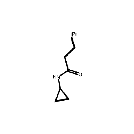 CC(C)CCC(=O)NC1CC1